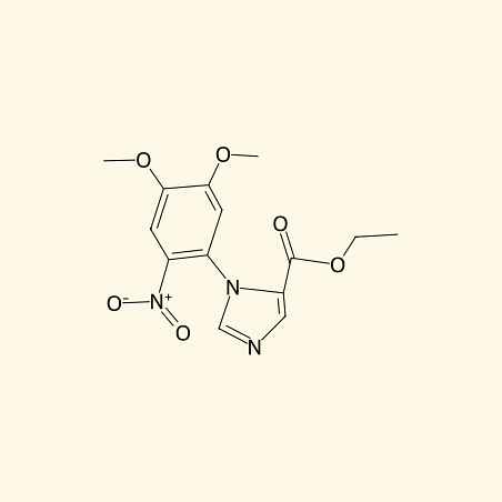 CCOC(=O)c1cncn1-c1cc(OC)c(OC)cc1[N+](=O)[O-]